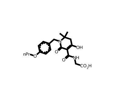 CCCOc1ccc(CN2C(=O)C(C(=O)NCC(=O)O)=C(O)CC2(C)C)cc1